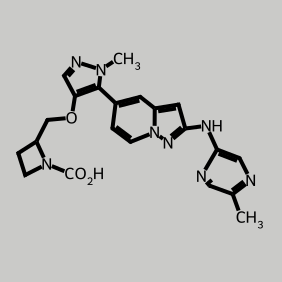 Cc1cnc(Nc2cc3cc(-c4c(OCC5CCN5C(=O)O)cnn4C)ccn3n2)cn1